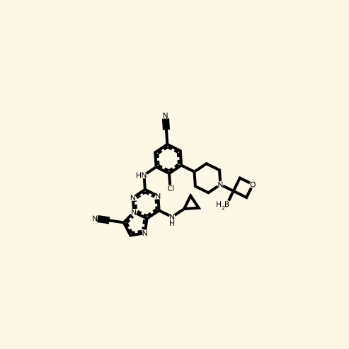 BC1(N2CCC(c3cc(C#N)cc(Nc4nc(NC5CC5)c5ncc(C#N)n5n4)c3Cl)CC2)COC1